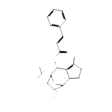 CC1=C2[C@@H](CC1)[C@]1(C)O[C@@](C(C)C)(C[C@H]1O)[C@H]2OC(=O)/C=C/c1ccccc1